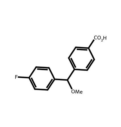 COC(c1ccc(F)cc1)c1ccc(C(=O)O)cc1